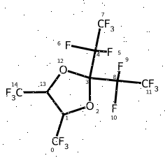 FC(F)(F)C1OC(C(F)(F)C(F)(F)F)(C(F)(F)C(F)(F)F)OC1C(F)(F)F